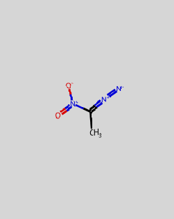 CC(=[N+]=[N-])[N+](=O)[O-]